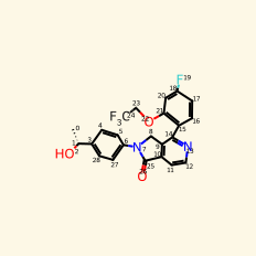 C[C@@H](O)c1ccc(N2Cc3c(ccnc3-c3ccc(F)cc3OCC(F)(F)F)C2=O)cc1